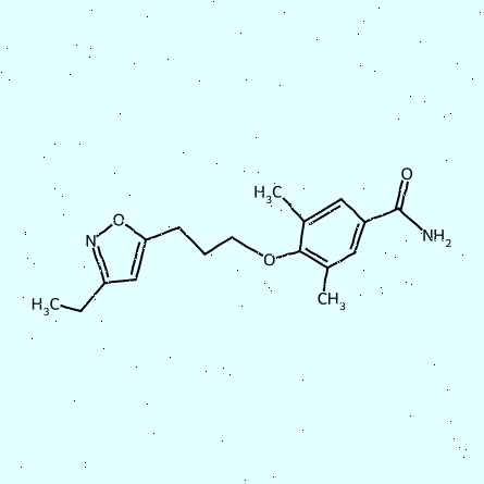 CCc1cc(CCCOc2c(C)cc(C(N)=O)cc2C)on1